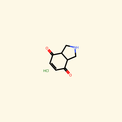 Cl.O=C1C=CC(=O)C2CNCC12